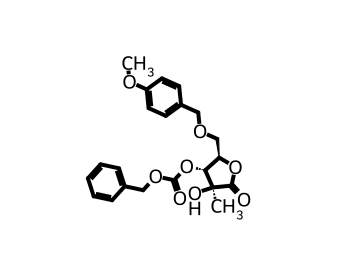 COc1ccc(COC[C@H]2OC(=O)[C@@](C)(O)[C@@H]2OC(=O)OCc2ccccc2)cc1